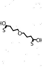 OC(=S)CCCOCCCC(O)=S